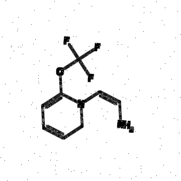 N/C=C\N1CC=CC=C1OC(F)(F)F